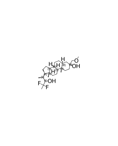 COC[C@]1(O)CC[C@@]2(C)[C@H](CC[C@@H]3[C@@H]2CC[C@]2(C)[C@@H]([C@H](C)[C@H](O)C(C)(F)F)CC[C@@H]32)C1